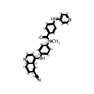 CN(C(=O)c1ccc(Nc2ccncc2)cc1)c1ccc(Nc2ccnc3ccc(C#N)cc23)cc1